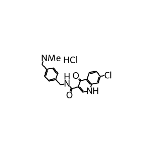 CNCc1ccc(CNC(=O)c2c[nH]c3cc(Cl)ccc3c2=O)cc1.Cl